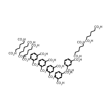 O=C(O)CCCCC(=O)O.O=C(O)CCCCC(=O)O.O=C(O)CCCCC(=O)O.O=C(O)CCCCC(=O)O.O=C(O)CCCCC(=O)O.O=C(O)c1cccc(C(=O)O)c1.O=C(O)c1cccc(C(=O)O)c1.O=C(O)c1cccc(C(=O)O)c1.O=C(O)c1cccc(C(=O)O)c1.O=C(O)c1cccc(C(=O)O)c1